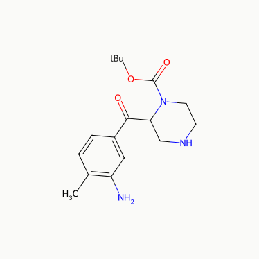 Cc1ccc(C(=O)C2CNCCN2C(=O)OC(C)(C)C)cc1N